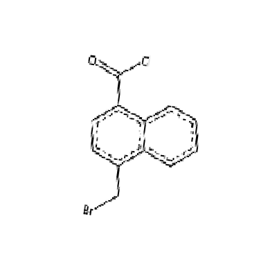 O=C(Cl)c1ccc(CBr)c2ccccc12